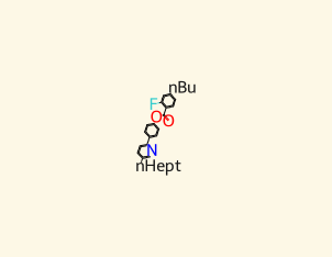 CCCCCCCc1ccc(-c2ccc(OC(=O)c3ccc(CCCC)cc3F)cc2)nc1